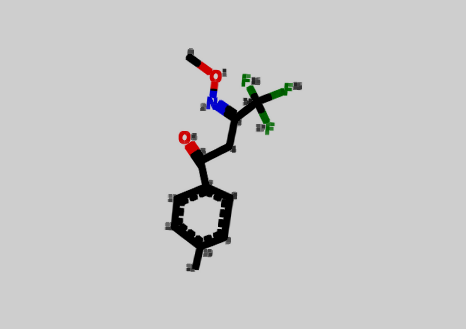 CON=C(CC(=O)c1ccc(C)cc1)C(F)(F)F